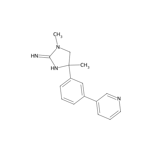 CN1CC(C)(c2cccc(-c3cccnc3)c2)NC1=N